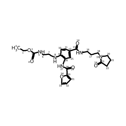 CCOC(=O)NCCNc1ccc(C(=O)NCCCN2CCCC2=O)cc1NC(=O)c1ccco1